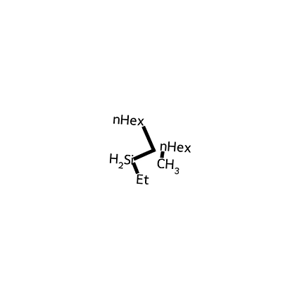 CCCCCCC.CCCCCCC[SiH2]CC